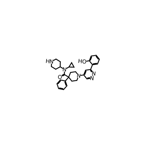 O=C(N(C1CCNCC1)C1CC1)C1(c2ccccc2)CCN(c2cnnc(-c3ccccc3O)c2)CC1